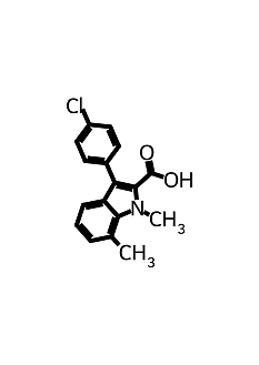 Cc1cccc2c(-c3ccc(Cl)cc3)c(C(=O)O)n(C)c12